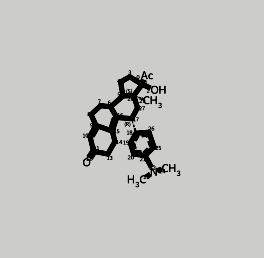 CC(=O)C1(O)CCC2C3CCC4=CC(=O)CCC4=C3[C@@H](c3ccc(N(C)C)cc3)C[C@@]21C